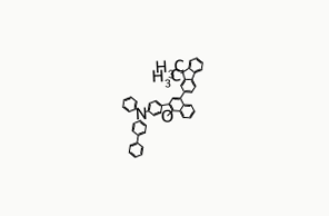 CC1(C)c2ccccc2-c2ccc(-c3cc4c5ccc(N(c6ccccc6)c6ccc(-c7ccccc7)cc6)cc5oc4c4ccccc34)cc21